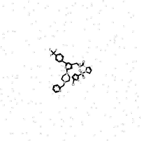 O=C(NCc1cc(-c2ccc(C(F)(F)F)cc2)nc(N2CCN(Cc3ccccn3)CC2)c1)[C@@H]1C=CCN1S(=O)(=O)c1ccc(Cl)s1